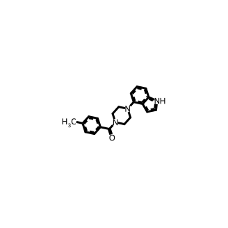 Cc1ccc(C(=O)N2CCN(c3cccc4[nH]ccc34)CC2)cc1